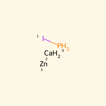 PI.[CaH2].[Zn]